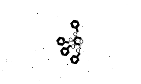 [CH]1O[C@H](COCc2ccccc2)[C@H](OCc2ccccc2)[C@H](OCc2ccccc2)[C@H]1OCc1ccccc1